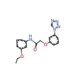 CCOc1cccc(NC(=O)COc2cccc(-n3cnnn3)c2)c1